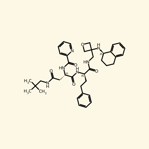 CC(C)(C)CNC(=O)C[C@H](NC(=O)c1ccccn1)C(=O)N[C@H](CCc1ccccc1)C(=O)NCC1(N[C@@H]2CCCc3ccccc32)COC1